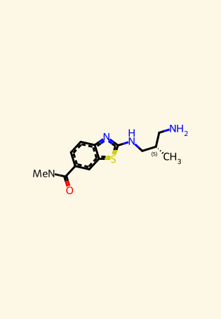 CNC(=O)c1ccc2nc(NC[C@@H](C)CN)sc2c1